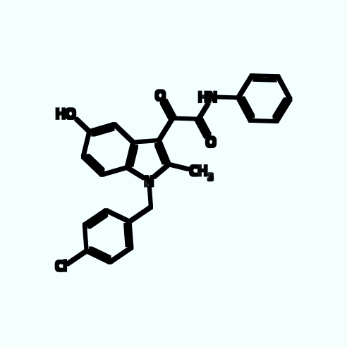 Cc1c(C(=O)C(=O)Nc2ccccc2)c2cc(O)ccc2n1Cc1ccc(Cl)cc1